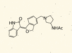 CC(=O)NC1CCN(Cc2ccc3c(c2)COC3=C2C(=O)Nc3ccccc32)C1